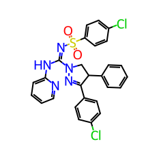 O=S(=O)(/N=C(/Nc1ccccn1)N1CC(c2ccccc2)C(c2ccc(Cl)cc2)=N1)c1ccc(Cl)cc1